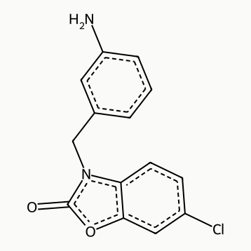 Nc1cccc(Cn2c(=O)oc3cc(Cl)ccc32)c1